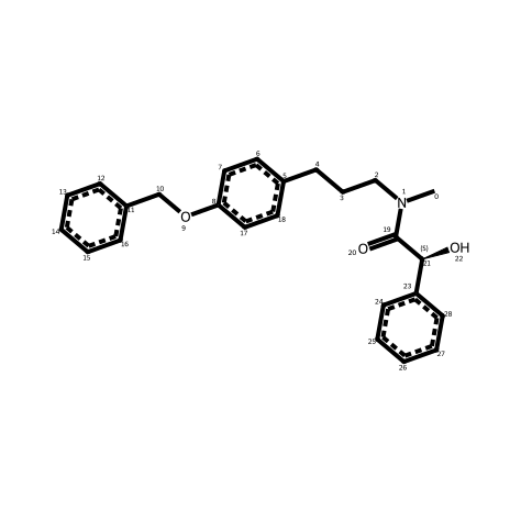 CN(CCCc1ccc(OCc2ccccc2)cc1)C(=O)[C@@H](O)c1ccccc1